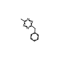 Cc1nnc(Cc2ccccc2)nn1